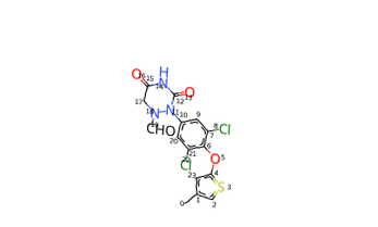 Cc1csc(Oc2c(Cl)cc(N3C(=O)NC(=O)CN3C=O)cc2Cl)c1